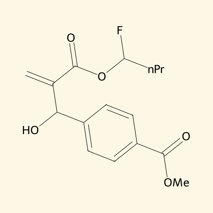 C=C(C(=O)OC(F)CCC)C(O)c1ccc(C(=O)OC)cc1